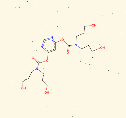 O=C(Oc1cc(OC(=O)N(CCCO)CCCO)ncn1)N(CCCO)CCCO